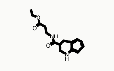 CCOC(=O)CCNC(=O)C1CNc2ccccc2C1